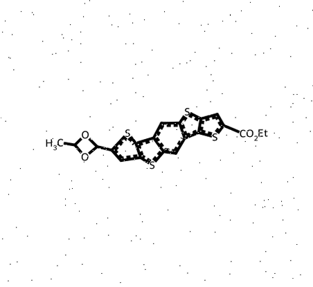 CCOC(=O)c1cc2sc3cc4c(cc3c2s1)sc1cc(C2OC(C)O2)sc14